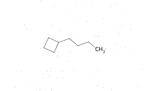 [CH2]CCCC1CCC1